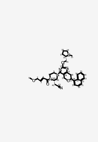 COC/C=C/C(=O)N1CCN(c2nc(OC[C@@H]3CCCN3C)nc3c2COC(c2cccc4ccccc24)C3)C[C@@H]1CC#N